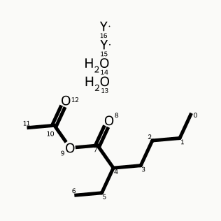 CCCCC(CC)C(=O)OC(C)=O.O.O.[Y].[Y]